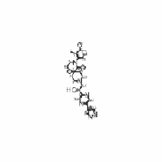 CC1=C(N2CCOC3(CCN(CC(O)c4cnc(-n5cnnn5)cn4)CC3)C2=O)COC1=O